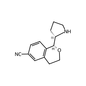 N#Cc1ccc2c(c1)CCO[C@H]2[C@@H]1CCCN1